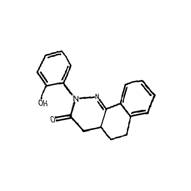 O=C1CC2CCc3ccccc3C2=NN1c1ccccc1O